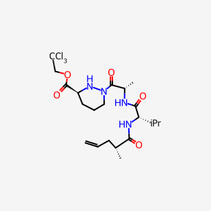 C=CC[C@@H](C)C(=O)N[C@H](C(=O)N[C@@H](C)C(=O)N1CCC[C@@H](C(=O)OCC(Cl)(Cl)Cl)N1)C(C)C